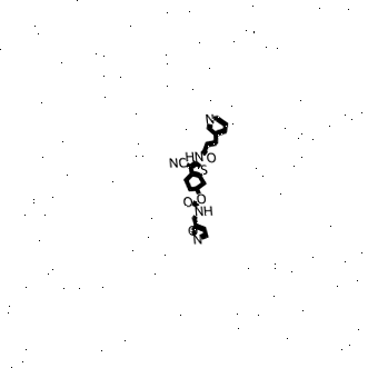 N#Cc1c(NC(=O)/C=C/c2cccnc2)sc2c1CCC(OC(=O)NCc1ccno1)C2